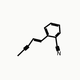 CC#C/C=C/c1ccccc1C#N